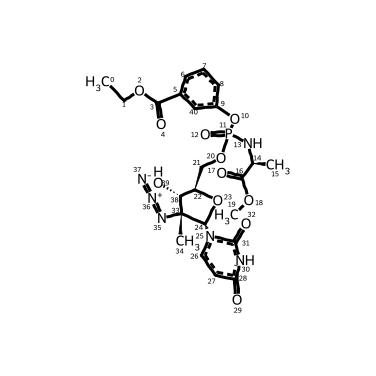 CCOC(=O)c1cccc(OP(=O)(N[C@@H](C)C(=O)OC)OC[C@H]2O[C@H](n3ccc(=O)[nH]c3=O)[C@](C)(N=[N+]=[N-])[C@@H]2O)c1